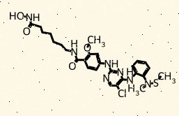 COc1cc(Nc2ncc(Cl)c(Nc3ccccc3N(C)SC)n2)ccc1C(=O)NCCCCCCC(=O)NO